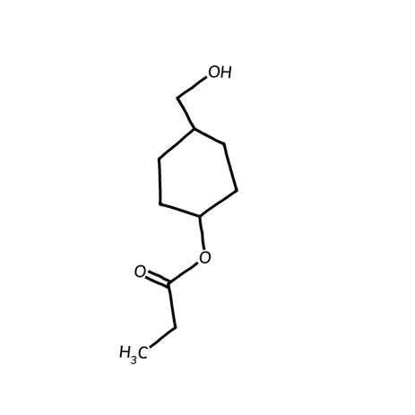 CCC(=O)OC1CCC(CO)CC1